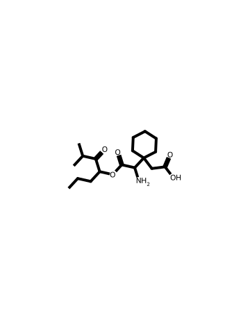 CCCC(OC(=O)C(N)C1(CC(=O)O)CCCCC1)C(=O)C(C)C